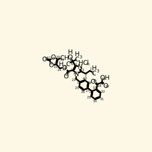 CCCc1nc(C(C)(C)O)c(C(=O)OCc2oc(=O)oc2C)n1Cc1ccc(-c2ccccc2C(=O)C(=O)O)cc1.Cl